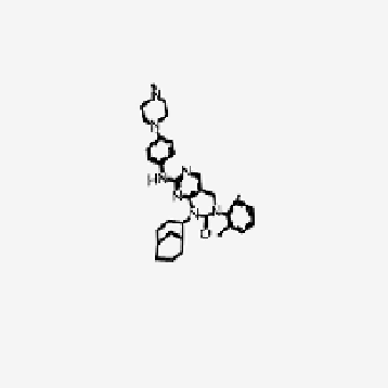 Cc1cccc(C)c1N1Cc2cnc(Nc3ccc(N4CCN(C)CC4)cc3)nc2N(C2CCC3CCCC2C3)C1=O